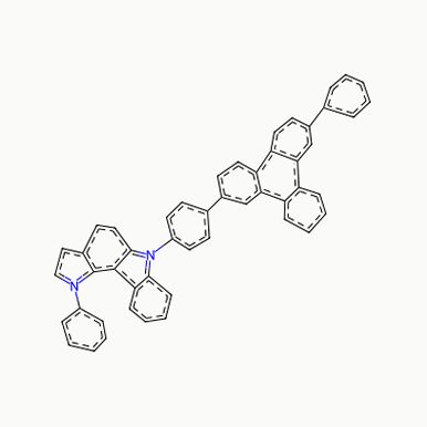 c1ccc(-c2ccc3c4ccc(-c5ccc(-n6c7ccccc7c7c8c(ccc76)ccn8-c6ccccc6)cc5)cc4c4ccccc4c3c2)cc1